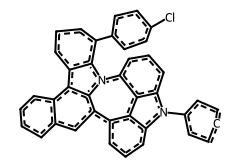 Clc1ccc(-c2cccc3c4c5ccccc5cc5c6cccc7c6c6c(cccc6n(c23)c54)n7-c2ccccc2)cc1